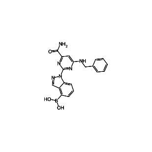 NC(=O)c1cc(NCc2ccccc2)nc(-n2ncc3c(B(O)O)cccc32)n1